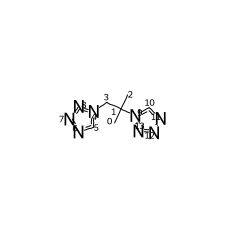 CC(C)(Cn1cnnn1)n1cnnn1